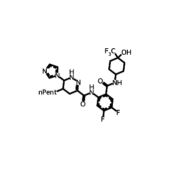 CCCCCC1CC(C(=O)Nc2cc(F)c(F)cc2C(=O)NC2CCC(O)(C(F)(F)F)CC2)=NNC1n1ccnc1